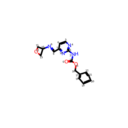 O=C(Nc1nccc(C=NC2COC2)n1)OCc1ccccc1